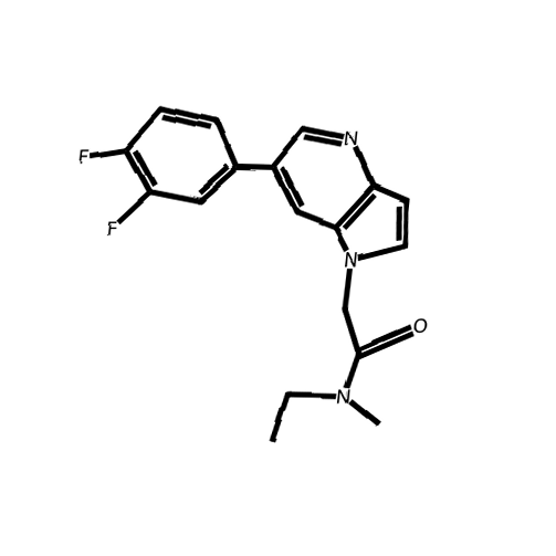 CCN(C)C(=O)Cn1ccc2ncc(-c3ccc(F)c(F)c3)cc21